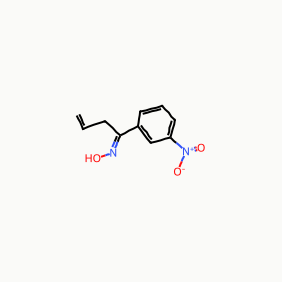 C=CCC(=NO)c1cccc([N+](=O)[O-])c1